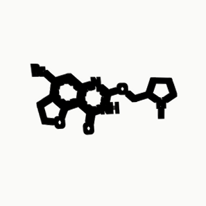 CN1CCCC1COc1nc2cc(Br)c3c(c2c(=O)[nH]1)OCC3